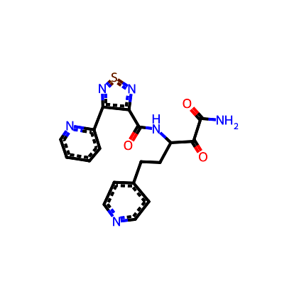 NC(=O)C(=O)C(CCc1ccncc1)NC(=O)c1nsnc1-c1ccccn1